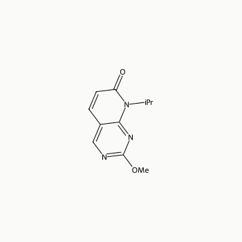 COc1ncc2ccc(=O)n(C(C)C)c2n1